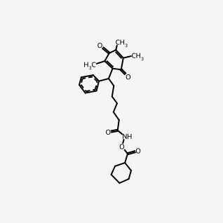 CC1=C(C)C(=O)C(C(CCCCCC(=O)NOC(=O)C2CCCCC2)c2ccccc2)=C(C)C1=O